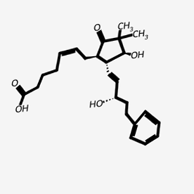 CC1(C)C(=O)[C@H](C/C=C\CCCC(=O)O)[C@@H](/C=C/[C@@H](O)CCc2ccccc2)[C@@H]1O